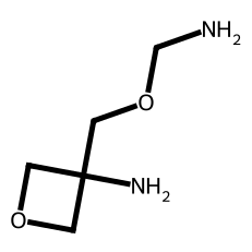 NCOCC1(N)COC1